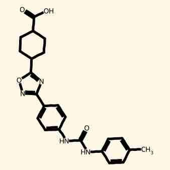 Cc1ccc(NC(=O)Nc2ccc(-c3noc(C4CCC(C(=O)O)CC4)n3)cc2)cc1